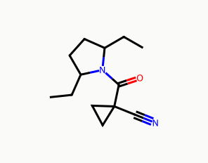 CCC1CCC(CC)N1C(=O)C1(C#N)CC1